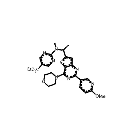 CCOC(=O)c1cnc(N(C)C(C)c2cc3nc(-c4ccc(OC)nc4)nc(N4CCOCC4)c3s2)nc1